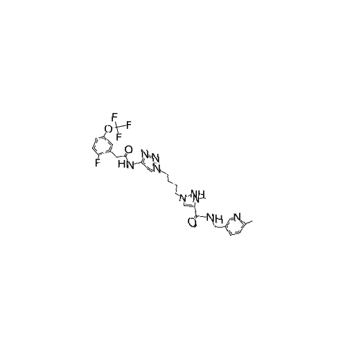 Cc1ccc(CNC(=O)C2=CN(CCCCn3cc(NC(=O)Cc4cc(OC(F)(F)F)ccc4F)nn3)NN2C)cn1